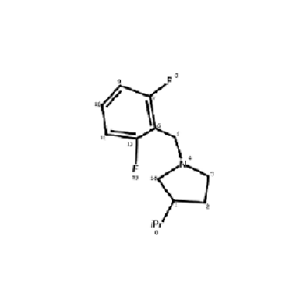 CC(C)C1CCN(Cc2c(F)cccc2F)C1